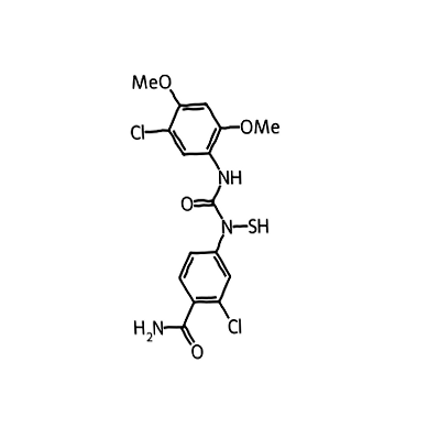 COc1cc(OC)c(NC(=O)N(S)c2ccc(C(N)=O)c(Cl)c2)cc1Cl